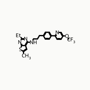 CCc1nc(NCCCc2ccc(-c3ccc(OC(F)(F)F)cn3)cc2)c2cc(C)sc2n1